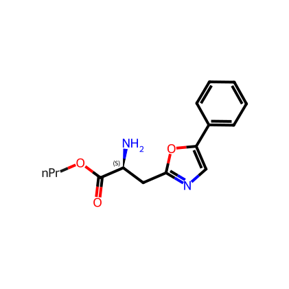 CCCOC(=O)[C@@H](N)Cc1ncc(-c2ccccc2)o1